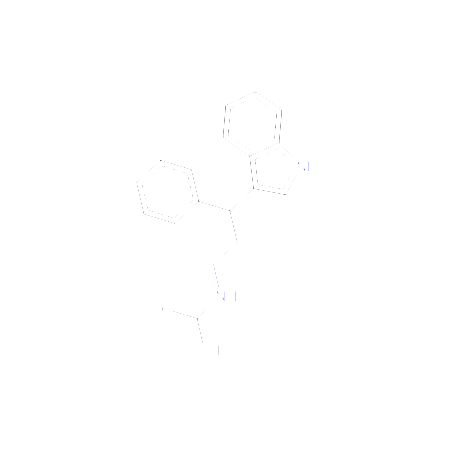 CC(C)NCCC(c1ccccc1)c1c[nH]c2ccccc12